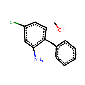 CO.Nc1cc(Cl)ccc1-c1ccccc1